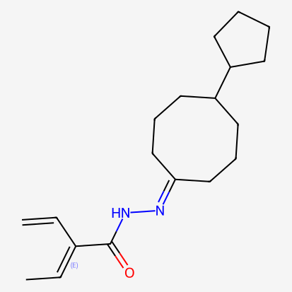 C=C/C(=C\C)C(=O)NN=C1CCCC(C2CCCC2)CCC1